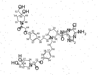 Nc1nc(N)c(C(=O)N[C@H]2CCC[N+](CCCc3ccc(OCC(=O)N4CCC(O)(CO)CC4)cc3)(CCCc3ccc(OCC(=O)N4CCC(O)(CO)CC4)cc3)C2)nc1Cl